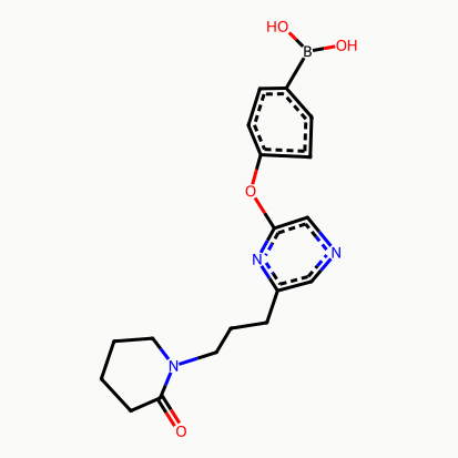 O=C1CCCCN1CCCc1cncc(Oc2ccc(B(O)O)cc2)n1